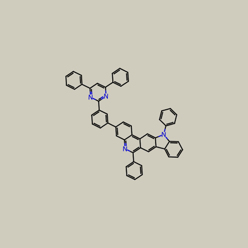 c1ccc(-c2cc(-c3ccccc3)nc(-c3cccc(-c4ccc5c(c4)nc(-c4ccccc4)c4cc6c7ccccc7n(-c7ccccc7)c6cc45)c3)n2)cc1